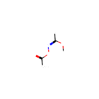 CCCC(=NOC(=O)NC)OCC